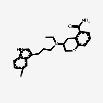 CCN(CCCc1c[nH]c2ccc(F)cc12)C1COc2cccc(C(N)=O)c2C1